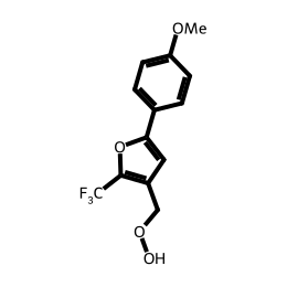 COc1ccc(-c2cc(COO)c(C(F)(F)F)o2)cc1